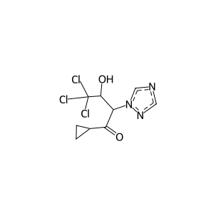 O=C(C1CC1)C(C(O)C(Cl)(Cl)Cl)n1cncn1